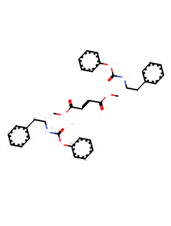 O=C(/C=C/C(=O)OC[C@@H](Cc1ccccc1)NC(=O)Oc1ccccc1)OC[C@@H](Cc1ccccc1)NC(=O)Oc1ccccc1